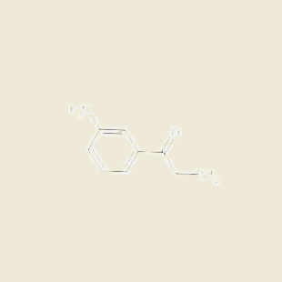 BCC(=O)c1cccc(C(F)(F)F)c1